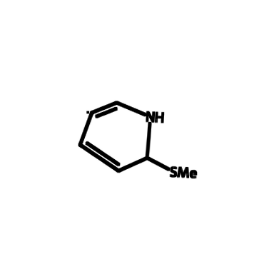 CSC1C=C[C]=CN1